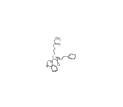 CCC(=O)CCCCC[C@@H](C(=O)NCCc1ccccc1)N1CC=Nc2ccccc21